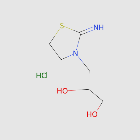 Cl.N=C1SCCN1CC(O)CO